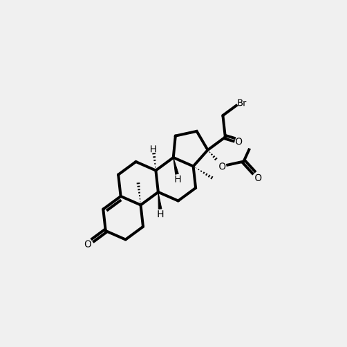 CC(=O)O[C@@]1(C(=O)CBr)CC[C@H]2[C@@H]3CCC4=CC(=O)CC[C@]4(C)[C@H]3CC[C@@]21C